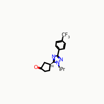 CC(C)n1nc(-c2ccc(C(F)(F)F)cc2)nc1[C@H]1CCC(=O)C1